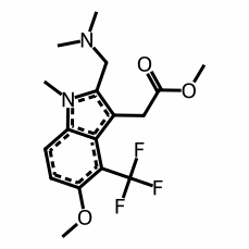 COC(=O)Cc1c(CN(C)C)n(C)c2ccc(OC)c(C(F)(F)F)c12